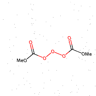 COC(=O)OOOC(=O)OC